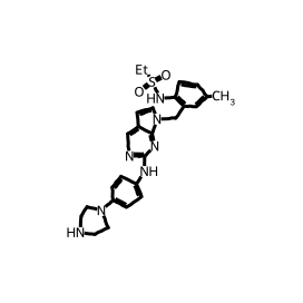 CCS(=O)(=O)Nc1ccc(C)cc1Cn1ccc2cnc(Nc3ccc(N4CCNCC4)cc3)nc21